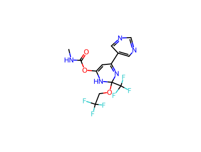 CNC(=O)OC1=CC(c2cncnc2)=NC(OCC(F)(F)F)(C(F)(F)F)N1